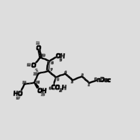 CCCCCCCCCCCCCCC(C(=O)O)C1=C(O)C(=O)O[C@H]1[C@@H](O)CO